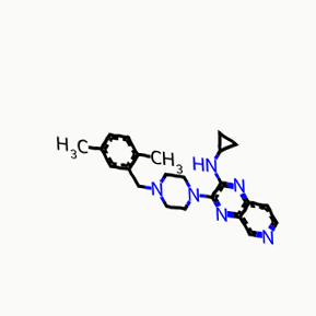 Cc1ccc(C)c(CN2CCN(c3nc4cnccc4nc3NC3CC3)CC2)c1